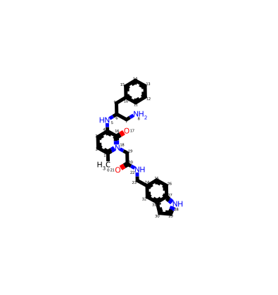 Cc1ccc(NC(CN)Cc2ccccc2)c(=O)n1CC(=O)NCc1ccc2[nH]ccc2c1